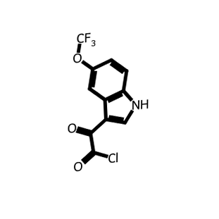 O=C(Cl)C(=O)c1c[nH]c2ccc(OC(F)(F)F)cc12